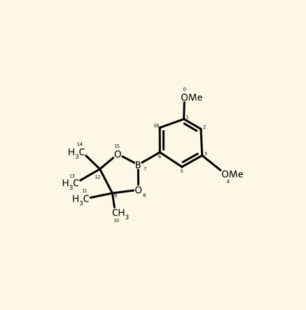 COc1cc(OC)cc(B2OC(C)(C)C(C)(C)O2)c1